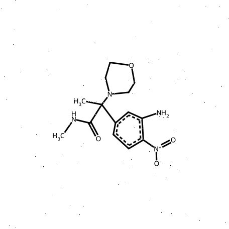 CNC(=O)C(C)(c1ccc([N+](=O)[O-])c(N)c1)N1CCOCC1